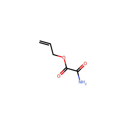 C=CCOC(=O)C(N)=O